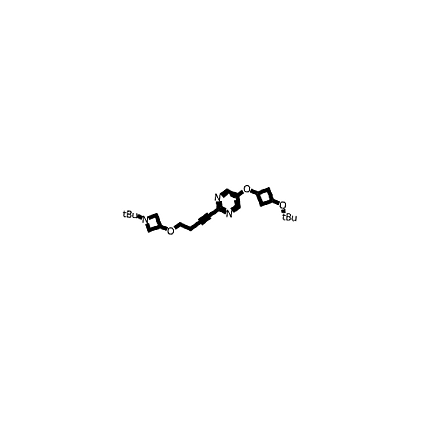 CC(C)(C)OC1CC(Oc2cnc(C#CCCOC3CN(C(C)(C)C)C3)nc2)C1